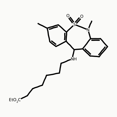 CCOC(=O)CCCCCCNC1c2ccccc2N(C)S(=O)(=O)c2cc(C)ccc21